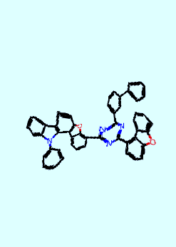 c1ccc(-c2cccc(-c3nc(-c4cccc5c4oc4ccc6c7ccccc7n(-c7ccccc7)c6c45)nc(-c4cccc5oc6ccccc6c45)n3)c2)cc1